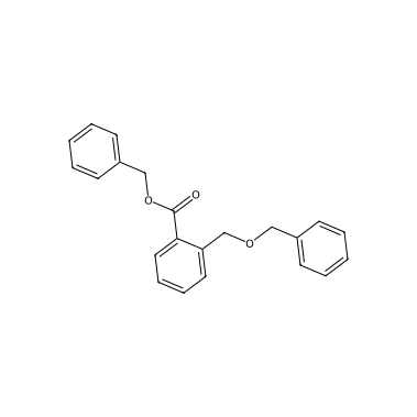 O=C(OCc1ccccc1)c1ccccc1COCc1ccccc1